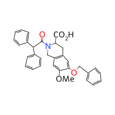 COc1cc2c(cc1OCc1ccccc1)CC(C(=O)O)N(C(=O)C(c1ccccc1)c1ccccc1)C2